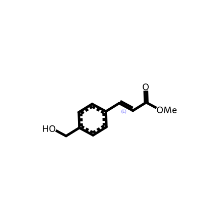 COC(=O)/C=C/c1ccc(CO)cc1